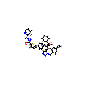 N#Cc1ccc(Cn2cncc2CN(C(=O)C2CCCCC2)c2ccc(-c3ccc(C(=O)NCc4ccccn4)s3)cc2)cc1